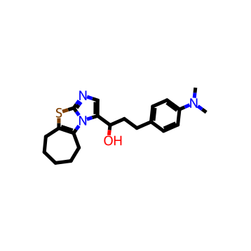 CN(C)c1ccc(CCC(O)c2cnc3sc4c(n23)CCCCC4)cc1